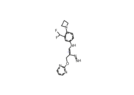 N=N/C(=C\Nc1ccc(N2CCC2)c(C(F)F)c1)COc1ncccn1